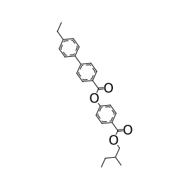 CCc1ccc(-c2ccc(C(=O)Oc3ccc(C(=O)OCC(C)CC)cc3)cc2)cc1